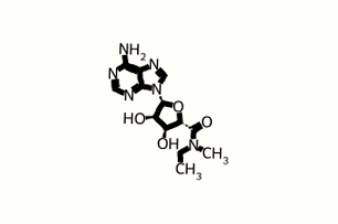 CCN(C)C(=O)[C@H]1O[C@@H](n2cnc3c(N)ncnc32)[C@H](O)[C@@H]1O